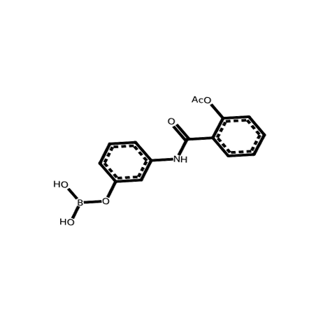 CC(=O)Oc1ccccc1C(=O)Nc1cccc(OB(O)O)c1